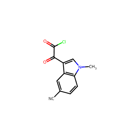 Cn1cc(C(=O)C(=O)Cl)c2cc(C#N)ccc21